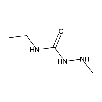 CCNC(=O)NNC